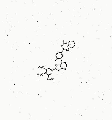 COc1cc(C2Cc3nccc(-c4cc(C(=O)N[C@@H]5CCCC[C@@H]5N)ccc4C)c3O2)cc(OC)c1OC